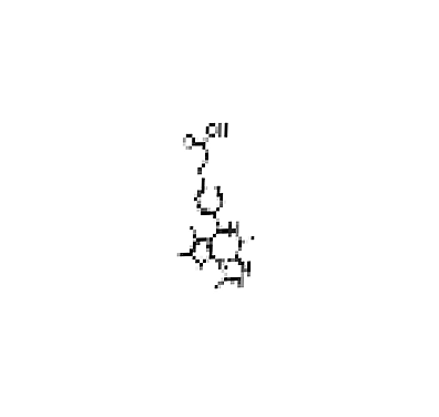 Cc1sc2c(c1C)C(c1ccc(CCC(=O)O)cc1)=N[C@@H](C)c1nnc(C)n1-2